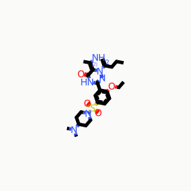 C=C(CCC)N1N=C(c2cc(S(=O)(=O)N3CCC(N(C)C)CC3)ccc2OCC)NC(=O)/C1=C(\C)N